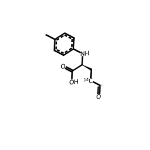 Cc1ccc(N[C@@H](C[14CH2][C]=O)C(=O)O)cc1